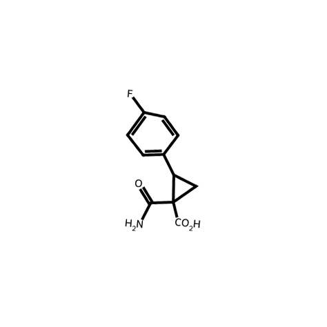 NC(=O)C1(C(=O)O)CC1c1ccc(F)cc1